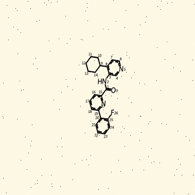 O=C(Nc1cnccc1C1CCCCC1)c1cccc(-c2ccccc2F)n1